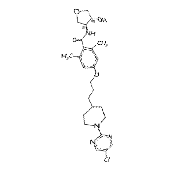 Cc1cc(OCCCC2CCN(c3ncc(Cl)cn3)CC2)cc(C)c1C(=O)N[C@H]1COC[C@@H]1O